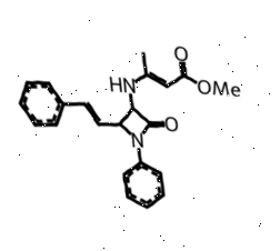 COC(=O)C=C(C)NC1C(=O)N(c2ccccc2)C1C=Cc1ccccc1